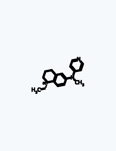 CC[C@@H]1CCCc2cc(N(C)c3ccncc3)ccc21